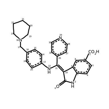 O=C1Nc2ccc(C(=O)O)cc2C1=C(Nc1ccc(CN2CCCCC2)cc1)c1ccncc1